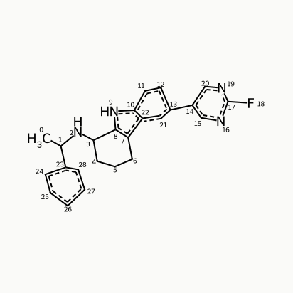 CC(NC1CCCc2c1[nH]c1ccc(-c3cnc(F)nc3)cc21)c1ccccc1